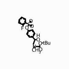 CN(CC(O)c1ccc(OS(=O)(=O)c2ccccc2F)cc1)C(=O)OC(C)(C)C